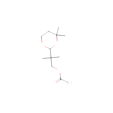 CCC(=O)OCC(C)(C)C1OCCC(C)(C)O1